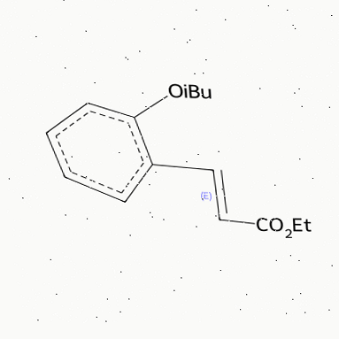 CCOC(=O)/C=C/c1ccccc1OCC(C)C